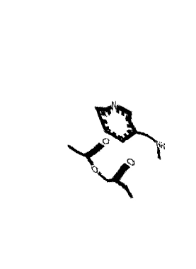 CC(=O)OC(C)=O.CNc1cccnc1